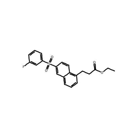 CCOC(=O)CCc1cccc2cc(S(=O)(=O)c3cccc(F)c3)ccc12